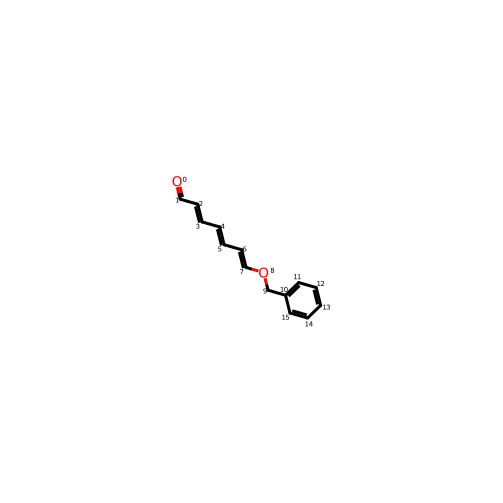 O=CC=CC=CC=COCc1ccccc1